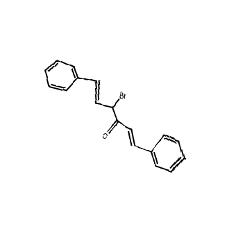 O=C(/C=C/c1ccccc1)C(Br)/C=C/c1ccccc1